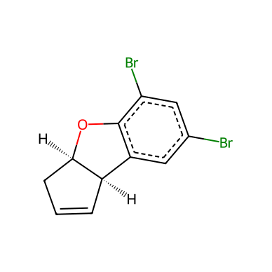 Brc1cc(Br)c2c(c1)[C@H]1C=CC[C@H]1O2